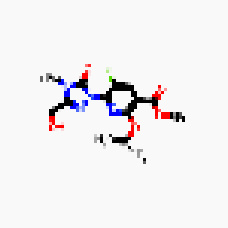 CCCn1c(CO)nn(-c2nc(O[C@@H](C)C(F)(F)F)c(C(=O)OC(C)C)cc2F)c1=O